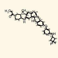 C=CC(=O)N1CCC(Nc2cc3c(Nc4ccc(Oc5ccnc(NC6CC(F)(F)C6)c5)cc4F)ncnc3cc2OC)CC1